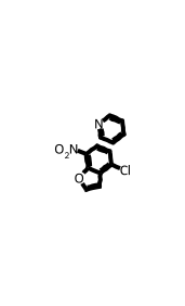 O=[N+]([O-])c1ccc(Cl)c2ccoc12.c1ccncc1